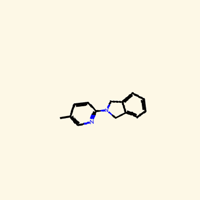 Cc1ccc(N2Cc3ccccc3C2)nc1